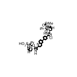 COC(=O)N[C@H](C(=O)N1[C@@H]2C[C@H]2C[C@H]1c1nc(Cl)c(-c2ccc(-c3ccc4nc(-c5c[nH]c([C@@H]6C[C@H]7C[C@H]7N6C(=O)[C@@H](NC(=O)O)C(C)C)n5)ccc4c3)cc2)[nH]1)C(C)C